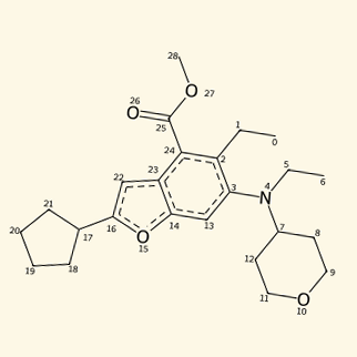 CCc1c(N(CC)C2CCOCC2)cc2oc(C3CCCC3)cc2c1C(=O)OC